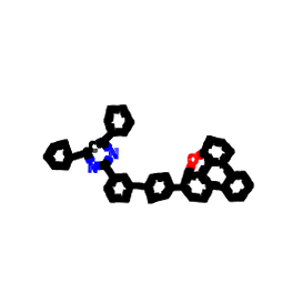 c1ccc(-c2cc(-c3ccccc3)nc(-c3cccc(-c4ccc(-c5ccc6c7ccccc7c7cccc8oc5c6c87)cc4)c3)n2)cc1